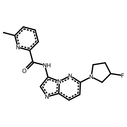 Cc1cccc(C(=O)Nc2cnc3ccc(N4CCC(F)C4)nn23)n1